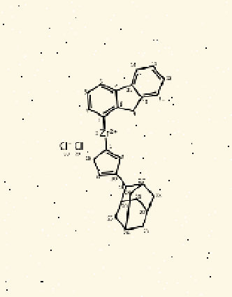 C1=[C]([Zr+2][c]2cccc3c2Cc2ccccc2-3)CC=C1C1C2CC3CC(C2)CC1C3.[Cl-].[Cl-]